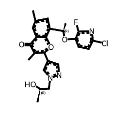 Cc1cc([C@@H](C)Oc2ccc(Cl)nc2F)c2oc(-c3cnn(C[C@@H](C)O)c3)c(C)c(=O)c2c1